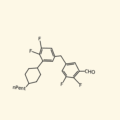 CCCCCC1CCC(c2cc(Cc3cc(F)c(F)c(C=O)c3)cc(F)c2F)CC1